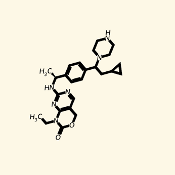 CCN1C(=O)OCc2cnc(N[C@@H](C)c3ccc(C(CC4CC4)N4CCNCC4)cc3)nc21